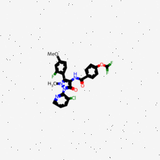 COc1ccc(-c2c(NC(=O)c3ccc(OC(F)F)cc3)c(=O)n(-c3ncccc3Cl)n2C)c(F)c1